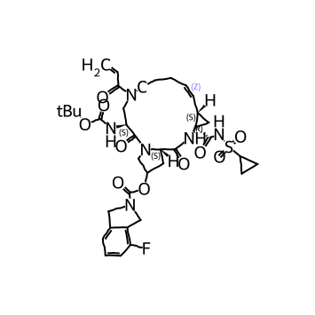 C=CC(=O)N1CCC/C=C\[C@@H]2C[C@@]2(C(=O)NS(=O)(=O)C2CC2)NC(=O)[C@@H]2CC(OC(=O)N3Cc4cccc(F)c4C3)CN2C(=O)[C@@H](NC(=O)OC(C)(C)C)C1